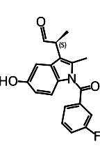 Cc1c([C@H](C)C=O)c2cc(O)ccc2n1C(=O)c1cccc(F)c1